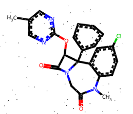 Cc1cnc(OC2C(=O)N3CC(=O)N(C)c4ccc(Cl)cc4C23c2ccccc2)nc1